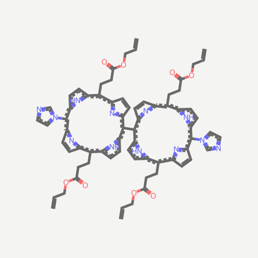 C=CCOC(=O)CCc1c2nc(c(-n3ccnc3)c3ccc([nH]3)c(CCC(=O)OCC=C)c3nc(c(-c4c5nc(c(CCC(=O)OCC=C)c6ccc([nH]6)c(-n6ccnc6)c6nc(c(CCC(=O)OCC=C)c7ccc4[nH]7)C=C6)C=C5)c4ccc1[nH]4)C=C3)C=C2